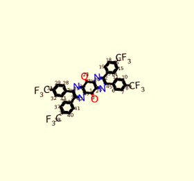 O=C1c2nc(-c3ccc(C(F)(F)F)cc3)c(-c3ccc(C(F)(F)F)cc3)nc2C(=O)c2nc(-c3ccc(C(F)(F)F)cc3)c(-c3ccc(C(F)(F)F)cc3)nc21